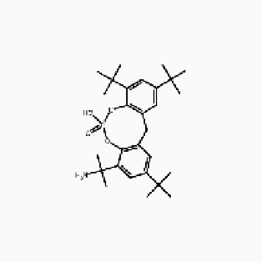 CC(C)(C)c1cc2c(c(C(C)(C)C)c1)OP(=O)(O)Oc1c(cc(C(C)(C)C)cc1C(C)(C)N)C2